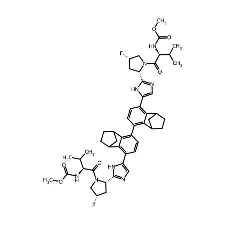 COC(=O)N[C@H](C(=O)N1C[C@@H](F)C[C@H]1c1ncc(-c2ccc(-c3ccc(-c4cnc([C@@H]5C[C@H](F)CN5C(=O)[C@@H](NC(=O)OC)C(C)C)[nH]4)c4c3C3CCC4C3)c3c2C2CCC3C2)[nH]1)C(C)C